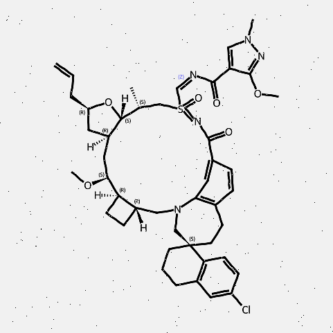 C=CC[C@@H]1C[C@@H]2C[C@H](OC)[C@@H]3CC[C@H]3CN3C[C@@]4(CCCc5cc(Cl)ccc54)CCc4ccc(cc43)C(=O)N=S(=O)(/C=N\C(=O)c3cn(C)nc3OC)C[C@@H](C)[C@H]2O1